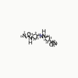 CN(C)CC(=O)Nc1ccc(/C=N/Nc2ccc(-c3cnco3)cc2)cc1